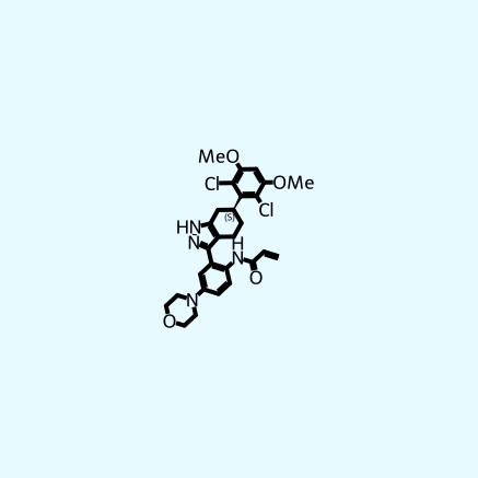 C=CC(=O)Nc1ccc(N2CCOCC2)cc1-c1n[nH]c2c1CC[C@H](c1c(Cl)c(OC)cc(OC)c1Cl)C2